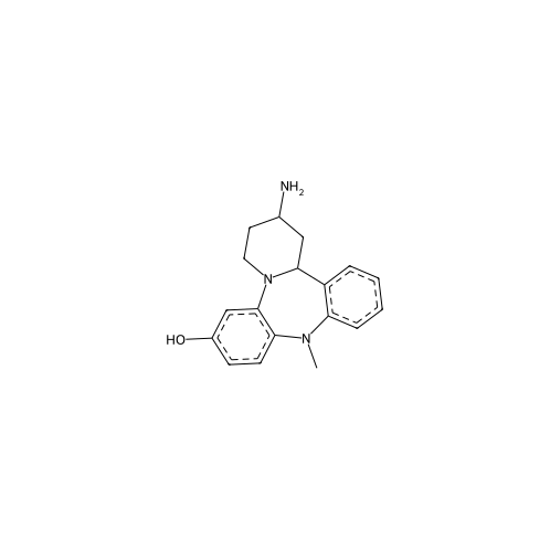 CN1c2ccccc2C2CC(N)CCN2c2cc(O)ccc21